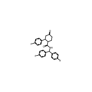 O=C1CCC(C(=O)NC(c2ccc(F)cc2)c2ccc(F)cc2)C(c2ccc(F)cc2)C1